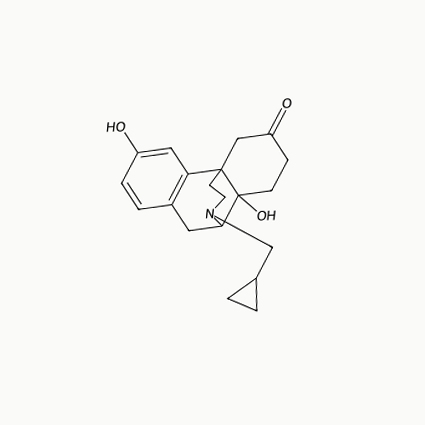 O=C1CCC2(O)C3Cc4ccc(O)cc4C2(CCN3CC2CC2)C1